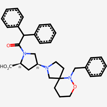 O=C(O)[C@@H]1C[C@H](N2CCC3(CCCON3Cc3ccccc3)C2)CN1C(=O)C(c1ccccc1)c1ccccc1